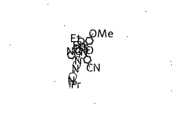 CCOc1cc(OC)ccc1S(=O)(=O)N1C(=O)C(c2cccnc2OCC)(N2CCN(C3CCN(C(C)C)CC3)CC2)c2cc(C#N)ccc21